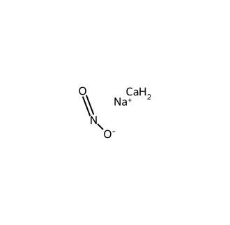 O=N[O-].[CaH2].[Na+]